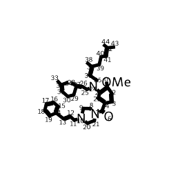 COc1ccc(C(=O)N2CCN(CC=Cc3ccccc3)CC2)cc1N(CC=C(C)CCC=C(C)C)CC=C(C)CCC=C(C)C